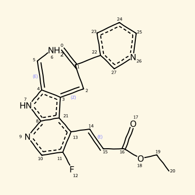 C=C(/C=c1\c(=C/N)[nH]c2ncc(F)c(/C=C/C(=O)OCC)c12)c1cccnc1